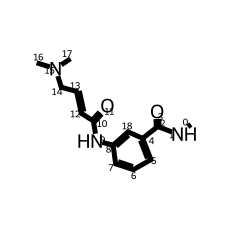 CNC(=O)c1cccc(NC(=O)C=CCN(C)C)c1